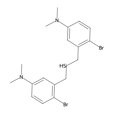 CN(C)c1ccc(Br)c(C[SiH]Cc2cc(N(C)C)ccc2Br)c1